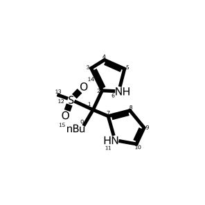 CCCCC(c1ccc[nH]1)(c1ccc[nH]1)S(C)(=O)=O